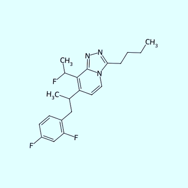 CCCCc1nnc2c(C(C)F)c(C(C)Cc3ccc(F)cc3F)ccn12